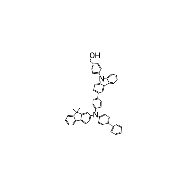 CC1(C)c2ccccc2-c2ccc(N(c3ccc(-c4ccccc4)cc3)c3ccc(-c4ccc5c(c4)c4ccccc4n5-c4ccc(CO)cc4)cc3)cc21